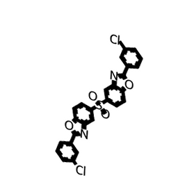 O=S(=O)(c1ccc2oc(-c3cccc(Cl)c3)nc2c1)c1ccc2oc(-c3cccc(Cl)c3)nc2c1